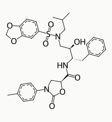 Cc1ccc(N2C[C@@H](C(=O)N[C@@H](Cc3ccccc3)[C@H](O)CN(CC(C)C)S(=O)(=O)c3ccc4c(c3)OCO4)OC2=O)cc1